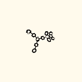 c1ccc(-c2ccc(-c3cc(-c4ccc(N5c6ccccc6C6(c7ccccc75)c5ccsc5-c5sccc56)cc4)nc(-c4ccc(-c5ccccn5)cc4)n3)cc2)cc1